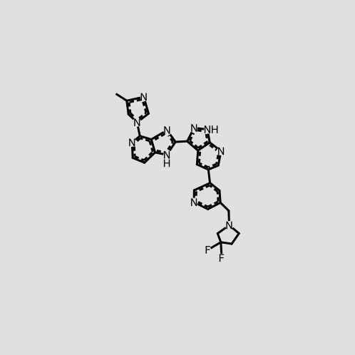 Cc1cn(-c2nccc3[nH]c(-c4n[nH]c5ncc(-c6cncc(CN7CCC(F)(F)C7)c6)cc45)nc23)cn1